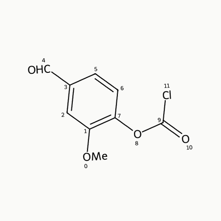 COc1cc(C=O)ccc1OC(=O)Cl